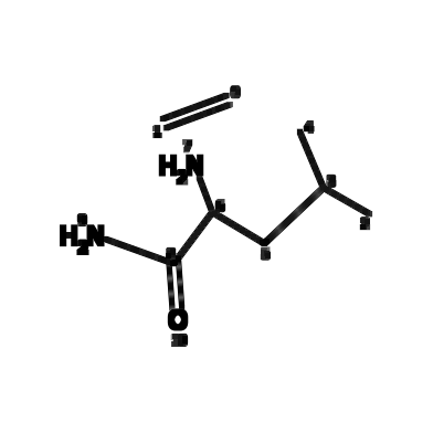 C=C.CC(C)CC(N)C(N)=O